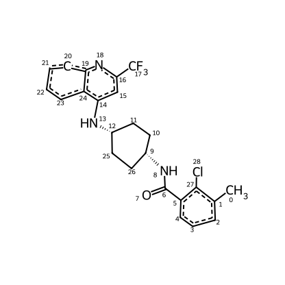 Cc1cccc(C(=O)N[C@H]2CC[C@@H](Nc3cc(C(F)(F)F)nc4ccccc34)CC2)c1Cl